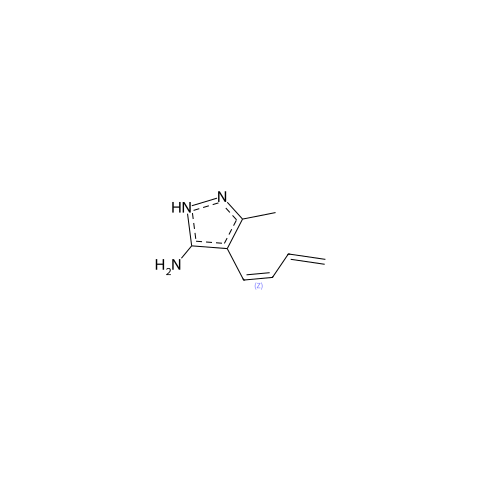 C=C/C=C\c1c(C)n[nH]c1N